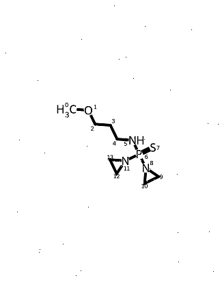 COCCCNP(=S)(N1CC1)N1CC1